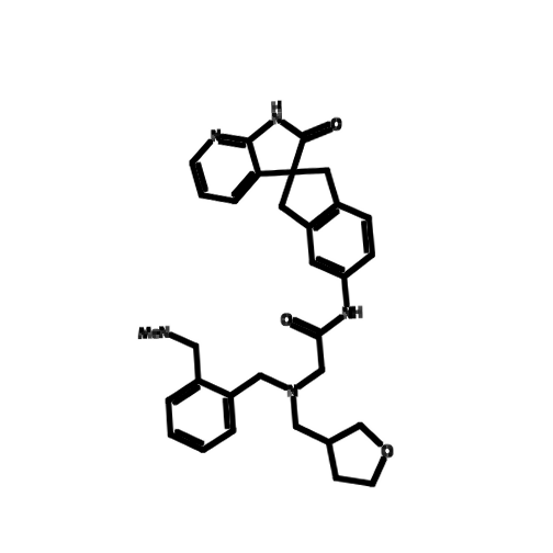 CNCc1ccccc1CN(CC(=O)Nc1ccc2c(c1)CC1(C2)C(=O)Nc2ncccc21)CC1CCOC1